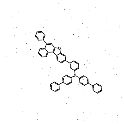 c1ccc(-c2ccc(N(c3ccc(-c4ccccc4)cc3)c3cccc(-c4ccc5c(c4)oc4cc(-c6ccccc6)c6ccccc6c45)c3)cc2)cc1